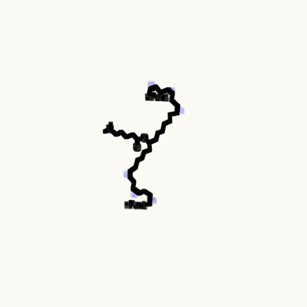 CCCCC/C=C\C/C=C\C/C=C\CCCCCCC(CCCCC/C=C\C/C=C\C/C=C\CCCCC)OC(=O)CCCCN(C)C